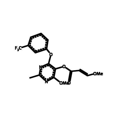 COC=CC(=O)Oc1c(OC)nc(C)nc1Oc1cccc(C(F)(F)F)c1